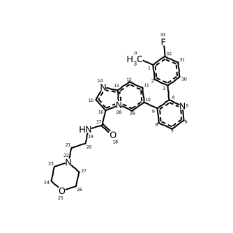 Cc1cc(-c2ncccc2-c2ccc3ncc(C(=O)NCCN4CCOCC4)n3c2)ccc1F